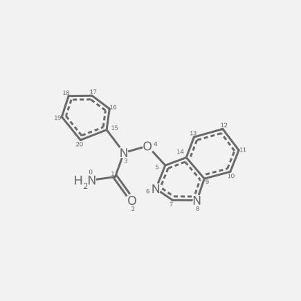 NC(=O)N(Oc1ncnc2ccccc12)c1ccccc1